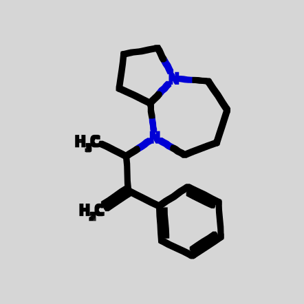 C=C(c1ccccc1)C(C)N1CCCCN2CCCC21